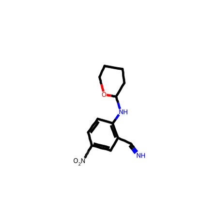 N=Cc1cc([N+](=O)[O-])ccc1NC1CCCCO1